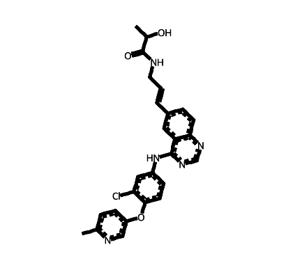 Cc1ccc(Oc2ccc(Nc3ncnc4ccc(C=CCNC(=O)C(C)O)cc34)cc2Cl)cn1